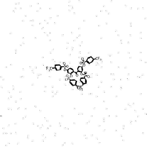 O=C(c1ccc(OS(=O)(=O)c2ccc(C(F)(F)F)cc2)cc1OS(=O)(=O)c1ccc(C(F)(F)F)cc1)c1ccc(OS(=O)(=O)c2ccc(C(F)(F)F)cc2)cc1OS(=O)(=O)c1ccc(C(F)(F)F)cc1